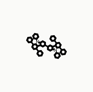 c1ccc(-c2ccc(-c3ccccc3)c3c2c2cc(-c4ccc5c(c4)c4c(-c6ccccc6)ccc(-c6ccccc6)c4n5-c4ccccc4)ccc2n3-c2ccccc2)cc1